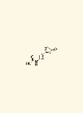 O=C1CSC(N2CC(NC(=O)O)C2)=N1